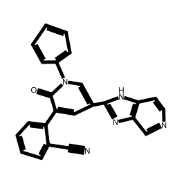 N#Cc1ccccc1-c1cc(-c2nc3cnccc3[nH]2)cn(-c2ccccc2)c1=O